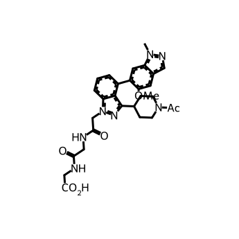 COc1cc2cnn(C)c2cc1-c1cccc2c1c(C1CCN(C(C)=O)CC1)nn2CC(=O)NCC(=O)NCC(=O)O